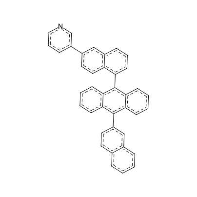 c1cncc(-c2ccc3c(-c4c5ccccc5c(-c5ccc6ccccc6c5)c5ccccc45)cccc3c2)c1